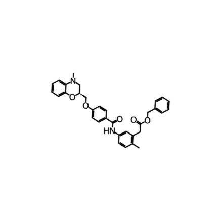 Cc1ccc(NC(=O)c2ccc(OC[C@@H]3CN(C)c4ccccc4O3)cc2)cc1CC(=O)OCc1ccccc1